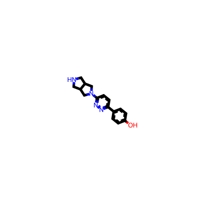 Oc1ccc(-c2ccc(N3CC4CNCC4C3)nn2)cc1